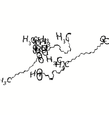 CC/C=C\C/C=C\C/C=C\C/C=C\C/C=C\CCCC(=O)O.CCCCC/C=C\C/C=C\C/C=C\C/C=C\CCCC(=O)O[C@H](COC(=O)CCCCCCCCCCCCCCC)COP(=O)(O)OCC[N+](C)(C)C.CCCCCCCCCCCCCCCCC/C=C/C(=O)O